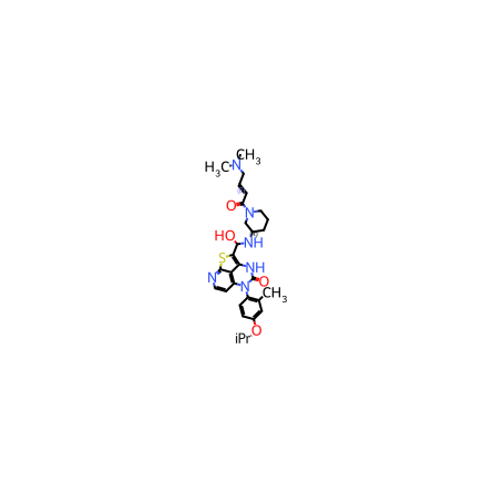 Cc1cc(OC(C)C)ccc1N1C(=O)Nc2c(C(O)N[C@@H]3CCCN(C(=O)/C=C/CN(C)C)C3)sc3nccc1c23